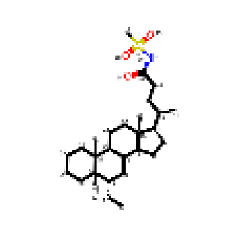 CC[C@H]1CC2C3CC[C@H]([C@H](C)CCC(=O)NS(C)(=O)=O)[C@@]3(C)CCC2[C@@]2(C)CCCC[C@@H]12